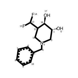 O[C@@H]1CN(Cc2ccccc2)CC(C(F)F)[C@H]1O